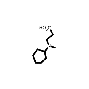 CN(CCC(=O)O)C1CCCCC1